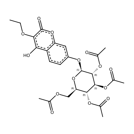 CCOc1c(O)c2ccc(O[C@@H]3O[C@H](COC(C)=O)[C@@H](OC(C)=O)[C@H](OC(C)=O)[C@H]3OC(C)=O)cc2oc1=O